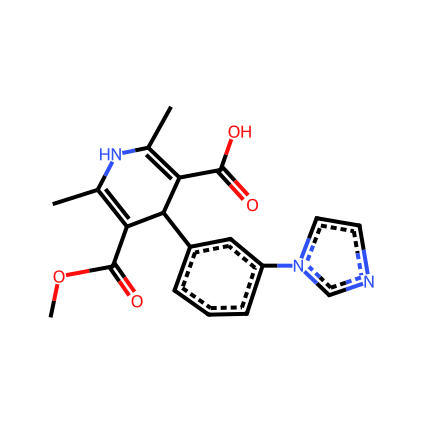 COC(=O)C1=C(C)NC(C)=C(C(=O)O)C1c1cccc(-n2ccnc2)c1